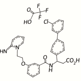 N=c1ccccn1CCOc1cccc(C(=O)NC(CC(=O)O)c2ccc(-c3cccc(Cl)c3)cc2)c1.O=C(O)C(F)(F)F